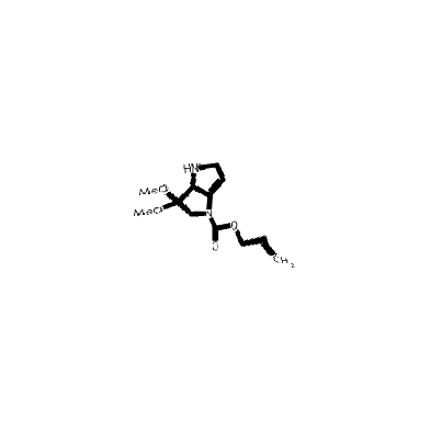 C=CCOC(=O)N1CC(OC)(OC)C2NCC=C21